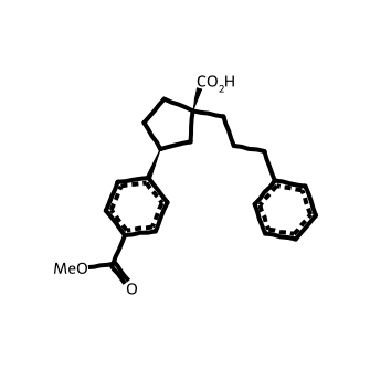 COC(=O)c1ccc([C@H]2CC[C@@](CCCc3ccccc3)(C(=O)O)C2)cc1